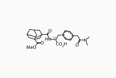 COC(=O)C12CC3CC(CC(C(=O)N[C@@H](Cc4ccc(CC(=O)N(C)C)cc4)C(=O)O)(C3)C1)C2